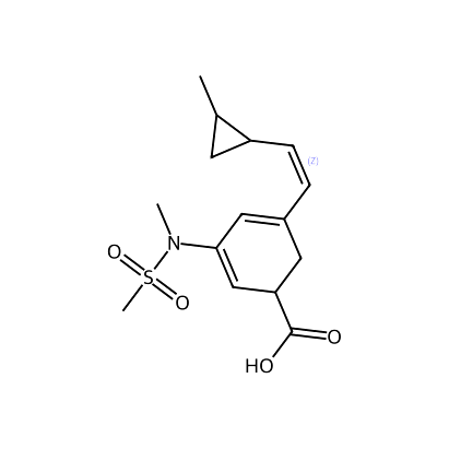 CC1CC1/C=C\C1=CC(N(C)S(C)(=O)=O)=CC(C(=O)O)C1